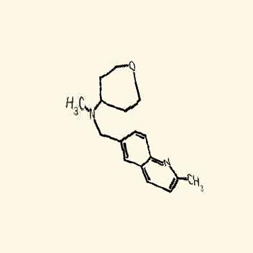 Cc1ccc2cc(CN(C)C3CCOCC3)ccc2n1